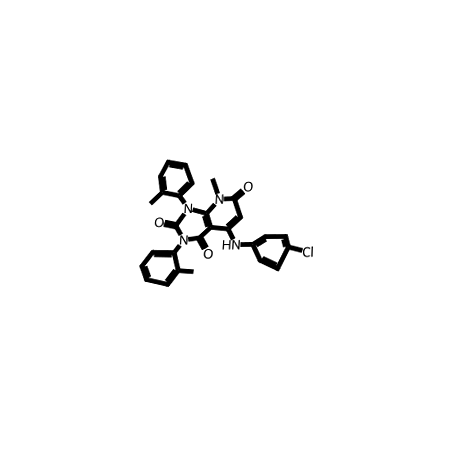 Cc1ccccc1-n1c(=O)c2c(Nc3ccc(Cl)cc3)cc(=O)n(C)c2n(-c2ccccc2C)c1=O